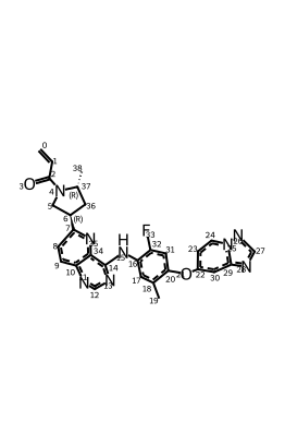 C=CC(=O)N1C[C@H](c2ccc3ncnc(Nc4cc(C)c(Oc5ccn6ncnc6c5)cc4F)c3n2)C[C@H]1C